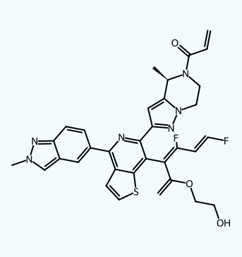 C=CC(=O)N1CCn2nc(-c3nc(-c4ccc5nn(C)cc5c4)c4ccsc4c3/C(C(=C)OCCO)=C(F)/C=C/F)cc2[C@H]1C